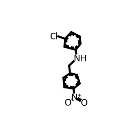 O=[N+]([O-])c1ccc(CNc2cccc(Cl)c2)cc1